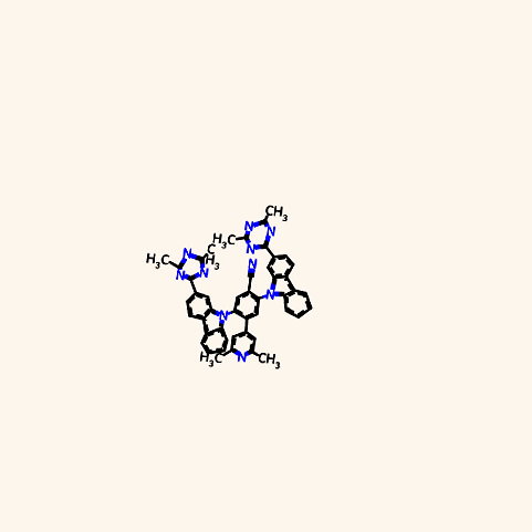 Cc1cc(-c2cc(-n3c4ccccc4c4ccc(-c5nc(C)nc(C)n5)cc43)c(C#N)cc2-n2c3ccccc3c3ccc(-c4nc(C)nc(C)n4)cc32)cc(C)n1